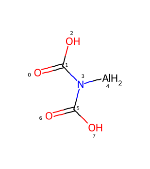 O=C(O)[N]([AlH2])C(=O)O